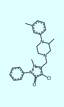 Cc1cccc(N2CCN(Cc3c(Cl)c(=O)n(-c4ccccc4)n3C)CC2C)c1